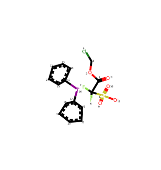 O=C(OCCl)C(F)(F)S(=O)(=O)[O-].c1ccc([I+]c2ccccc2)cc1